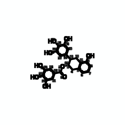 O=C(O[C@H]1Cc2cccc(O)c2CC1c1cc(O)c(O)c(O)c1)c1cc(O)c(O)c(O)c1